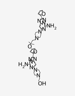 CC(C)(CCN1CCN(c2cc3nc(-c4ccco4)nn3c(N)n2)CC1)Oc1coc(-c2nc3cc(N4CCN(CCO)CC4)nc(N)n3n2)c1